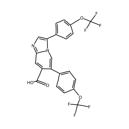 O=C(O)c1cc2ncc(-c3ccc(OC(F)(F)F)cc3)n2cc1-c1ccc(OC(F)(F)F)cc1